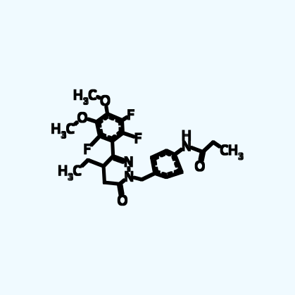 CCC(=O)Nc1ccc(CN2N=C(c3c(F)c(F)c(OC)c(OC)c3F)C(CC)CC2=O)cc1